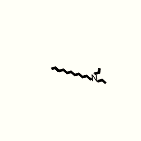 CC=CCCCCCCCCN(CCC)CCC